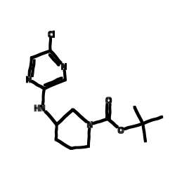 CC(C)(C)OC(=O)N1CCCC(Nc2cnc(Cl)cn2)C1